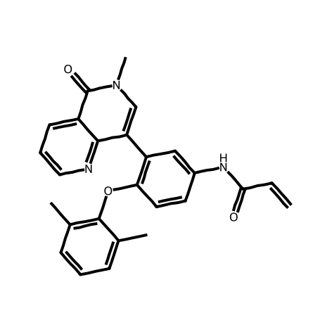 C=CC(=O)Nc1ccc(Oc2c(C)cccc2C)c(-c2cn(C)c(=O)c3cccnc23)c1